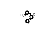 Nc1cccc(Cc2nn(-c3ccccc3)ccc2=O)c1